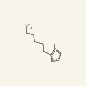 O=[N+]([O-])CCCCCc1ccc[nH]1